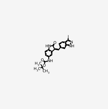 CC(C)(C)OC(=O)Nc1ccc2c(c1)C(=Cc1ccc3c(I)n[nH]c3c1)C(=O)N2